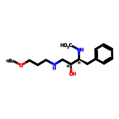 CCCCOCCCNC[C@H](O)[C@H](Cc1ccccc1)NC(=O)O